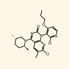 CCCOc1ccnc(Cl)c1-n1c(=O)nc(N2C[C@@H](C)CC[C@@H]2C)c2cc(F)c(Cl)nc21